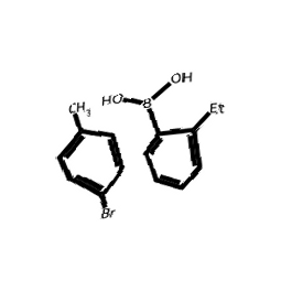 CCc1ccccc1B(O)O.Cc1ccc(Br)cc1